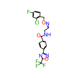 O=C(NC/C=N\OCc1ccc(F)cc1Cl)c1ccc(-c2noc(C(F)(F)F)n2)cc1